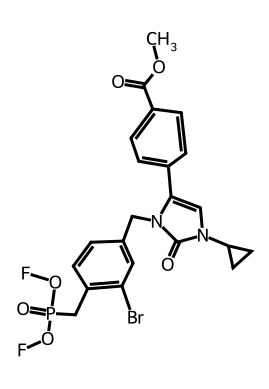 COC(=O)c1ccc(-c2cn(C3CC3)c(=O)n2Cc2ccc(CP(=O)(OF)OF)c(Br)c2)cc1